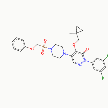 CC1(COc2c(N3CCN(S(=O)(=O)COc4ccccc4)CC3)cnn(-c3cc(F)cc(F)c3)c2=O)CC1